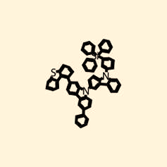 c1ccc(-c2ccc3c(c2)c2ccc(-c4cccc5sc6ccccc6c45)cc2n3-c2ccc3c(c2)c2ccccc2n3-c2cccc([Si](c3ccccc3)(c3ccccc3)c3ccccc3)c2)cc1